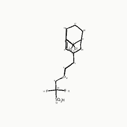 CCC1(O)C2=CC(CCOCC(F)(F)S(=O)(=O)O)CC1CCC2